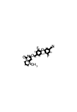 CN1CCCn2c1cc(OCc1ccc(Oc3cc(F)cc(C#N)c3)c(F)c1)nc2=O